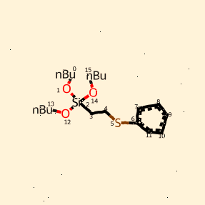 CCCCO[Si](CCSc1ccccc1)(OCCCC)OCCCC